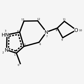 Cc1n[nH]c2c1CN(C1COC1)CC2